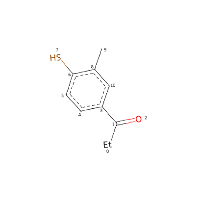 CCC(=O)c1ccc(S)c(C)c1